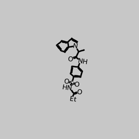 CCC(=O)NS(=O)(=O)c1ccc(NC(=O)C(C)n2ccc3ccccc32)cc1